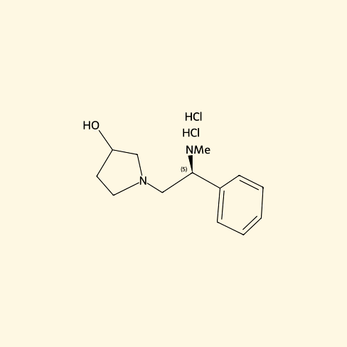 CN[C@H](CN1CCC(O)C1)c1ccccc1.Cl.Cl